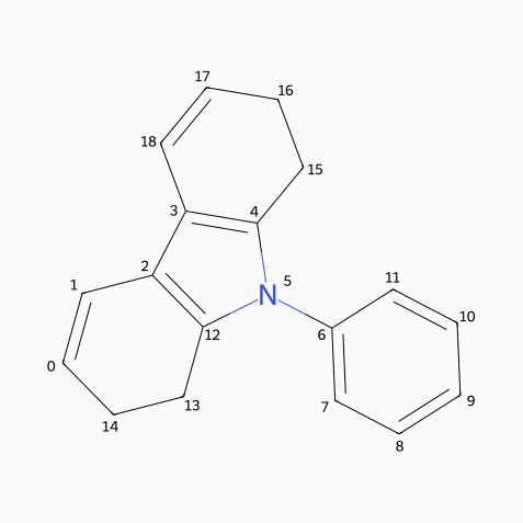 C1=Cc2c3c(n(-c4ccccc4)c2CC1)CCC=C3